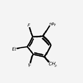 CCCc1cc(C)c(F)c(CC)c1F